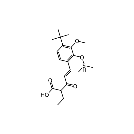 CCC(C(=O)O)C(=O)C=Cc1ccc(C(C)(C)C)c(OC)c1O[SiH](C)C